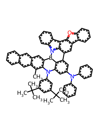 Cc1c2c(cc3cc4ccccc4cc13)B1c3c(cc(N(c4ccccc4)c4ccccc4)cc3N2c2cc(C(C)(C)C)cc(C(C)(C)C)c2)-c2cc3c4ccccc4oc3c3c4ccccc4n1c23